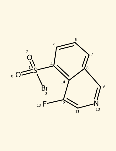 O=S(=O)(Br)c1cccc2cncc(F)c12